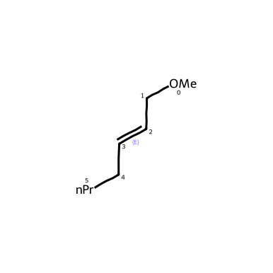 [CH2]OC/C=C/CCCC